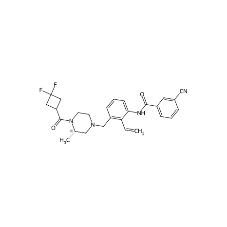 C=Cc1c(CN2CCN(C(=O)C3CC(F)(F)C3)[C@@H](C)C2)cccc1NC(=O)c1cccc(C#N)c1